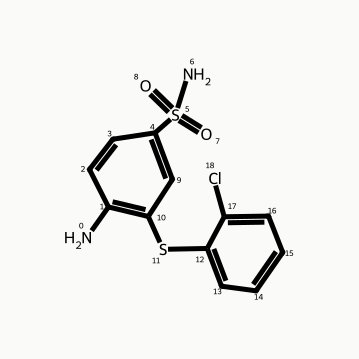 Nc1ccc(S(N)(=O)=O)cc1Sc1ccccc1Cl